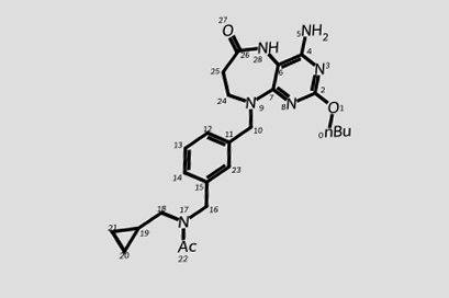 CCCCOc1nc(N)c2c(n1)N(Cc1cccc(CN(CC3CC3)C(C)=O)c1)CCC(=O)N2